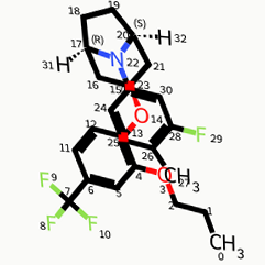 CCCOc1cc(C(F)(F)F)ccc1O[C@H]1C[C@H]2CC[C@@H](C1)N2c1ccc(C)c(F)c1